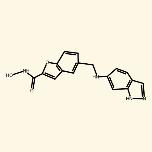 O=C(NO)c1cc2cc(CNc3ccc4cn[nH]c4c3)ccc2o1